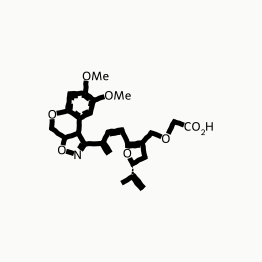 C=C(/C=C\C1=C(COCC(=O)O)C[C@H](C(=C)C)O1)C1=NOC2COc3cc(OC)c(OC)cc3C12